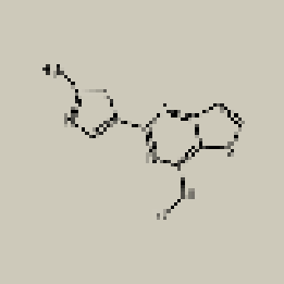 CCNc1nc(-c2cnc(N)s2)nc2ccsc12